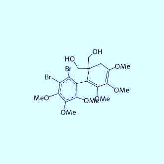 COC1=C(OC)C(OC)=C(c2c(Br)c(Br)c(OC)c(OC)c2OC)C(CO)(CO)C1